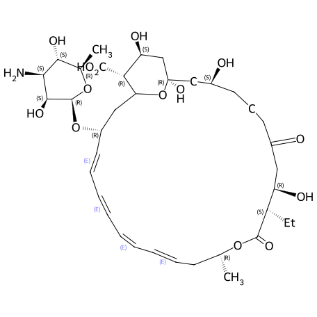 CC[C@@H]1C(=O)O[C@H](C)C/C=C/C=C/C=C/C=C/[C@H](O[C@@H]2O[C@H](C)[C@@H](O)[C@H](N)[C@@H]2O)CC2O[C@](O)(C[C@@H](O)CCCC(=O)C[C@H]1O)C[C@H](O)[C@H]2C(=O)O